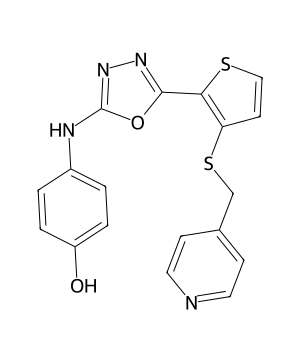 Oc1ccc(Nc2nnc(-c3sccc3SCc3ccncc3)o2)cc1